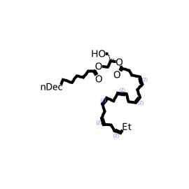 CC/C=C\C/C=C\C/C=C\C/C=C\C/C=C\C/C=C\CCC(=O)O[C@@H](CO)COC(=O)CCCCCCCCCCCCCCC